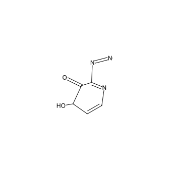 [N]=NC1=NC=CC(O)C1=O